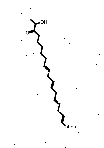 CCCCCC=CCC=CCC=CCC=CCCCCCC(=O)C(C)O